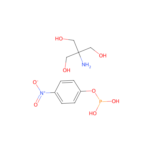 NC(CO)(CO)CO.O=[N+]([O-])c1ccc(OP(O)O)cc1